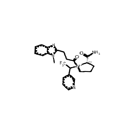 Cn1c(CCC(=O)[N+]2(C(c3cccnc3)C(F)(F)F)CCC[C@H]2C(N)=O)nc2ccccc21